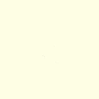 O=C(NC1N=C(c2ccccc2)c2cccc3c2N(CC3)C1=O)c1cc2ccccc2cn1